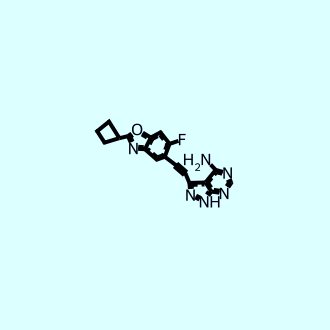 Nc1ncnc2[nH]nc(C#Cc3cc4nc(C5CCC5)oc4cc3F)c12